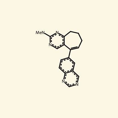 CNc1ncc2c(n1)CCCC=C2c1ccc2ncncc2c1